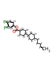 C=CCCCC1CCC(C2CCC(C(=O)Oc3ccc(F)c(F)c3)CC2)CC1